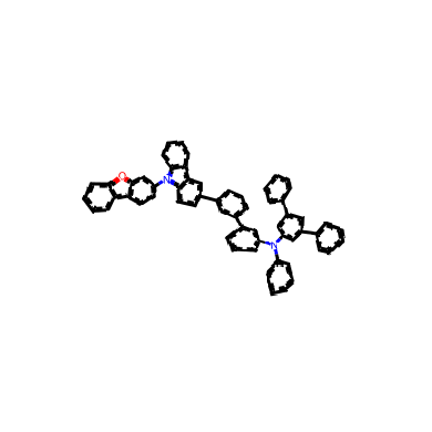 c1ccc(-c2cc(-c3ccccc3)cc(N(c3ccccc3)c3cccc(-c4cccc(-c5ccc6c(c5)c5ccccc5n6-c5ccc6c(c5)oc5ccccc56)c4)c3)c2)cc1